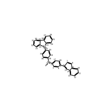 CN(c1ccc(-c2ccc3ccccc3c2)cc1)c1ccc(-n2c3ccccc3c3ccccc32)cc1